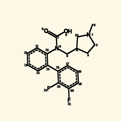 CN1CCC(CN(C(=O)O)c2ccccc2-c2cccc(F)c2F)C1